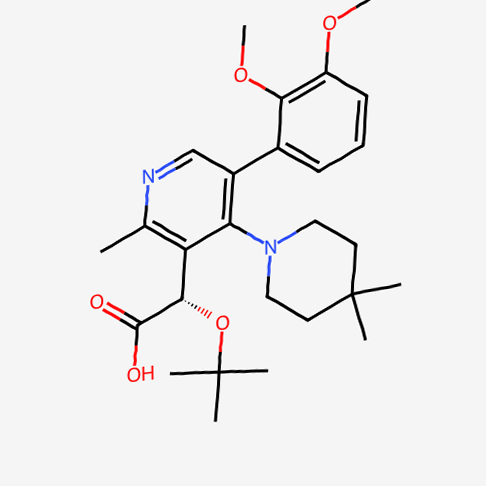 COc1cccc(-c2cnc(C)c([C@H](OC(C)(C)C)C(=O)O)c2N2CCC(C)(C)CC2)c1OC